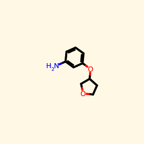 Nc1cccc(OC2CCOC2)c1